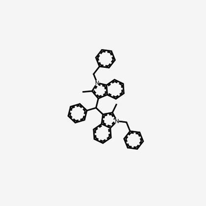 Cc1c(C(c2ccccc2)c2c(C)n(Cc3ccccc3)c3ccccc23)c2ccccc2n1Cc1ccccc1